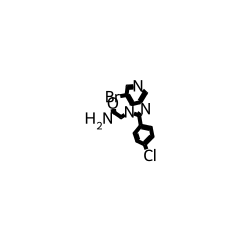 NC(=O)Cn1c(-c2ccc(Cl)cc2)nc2cncc(Br)c21